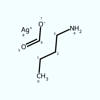 CCCCN.O=C[O-].[Ag+]